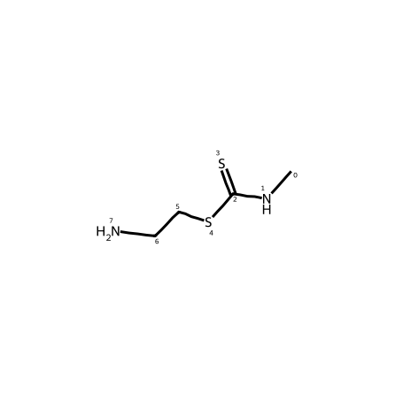 CNC(=S)SCCN